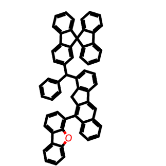 c1ccc(C(c2ccc3c(c2)C2(c4ccccc4-c4ccccc42)c2ccccc2-3)c2cccc3c2Cc2c-3cc3ccccc3c2-c2cccc3c2oc2ccccc23)cc1